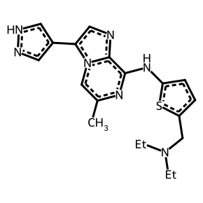 CCN(CC)Cc1ccc(Nc2nc(C)cn3c(-c4cn[nH]c4)cnc23)s1